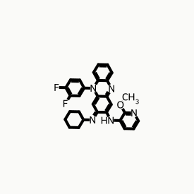 COc1ncccc1Nc1cc2nc3ccccc3n(-c3ccc(F)c(F)c3)c-2c/c1=N\C1CCCCC1